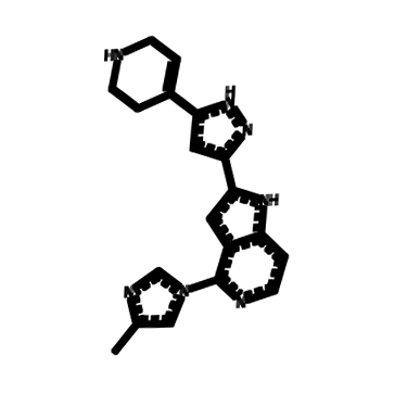 Cc1cn(-c2nccc3[nH]c(-c4cc(C5=CCNCC5)[nH]n4)cc23)cn1